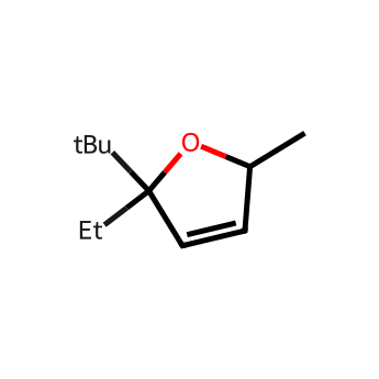 CCC1(C(C)(C)C)C=CC(C)O1